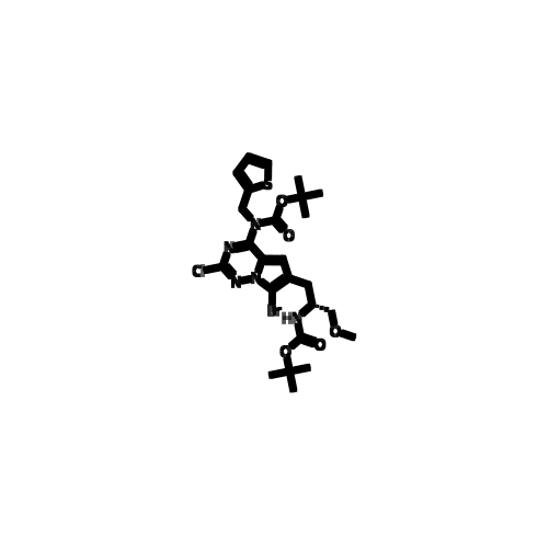 COC[C@@H](Cc1cc2c(N(Cc3cccs3)C(=O)OC(C)(C)C)nc(Cl)nn2c1Br)NC(=O)OC(C)(C)C